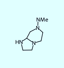 CNN1CCN2CCNC2C1